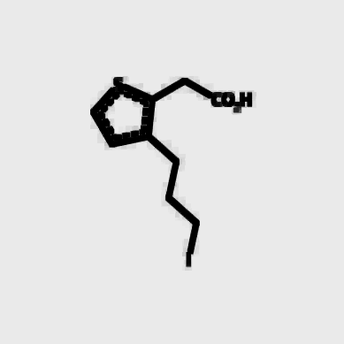 O=C(O)Cc1sccc1CCCI